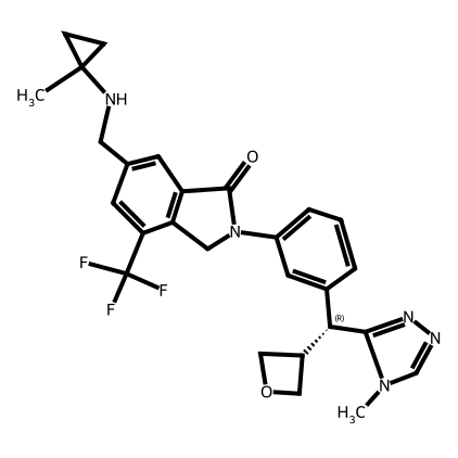 Cn1cnnc1[C@@H](c1cccc(N2Cc3c(cc(CNC4(C)CC4)cc3C(F)(F)F)C2=O)c1)C1COC1